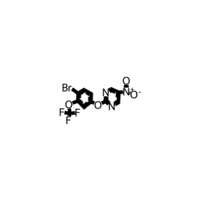 O=[N+]([O-])c1cnc(Oc2ccc(Br)c(OC(F)(F)F)c2)nc1